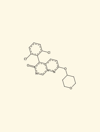 O=c1ncn2nc(OC3CCOCC3)ccc2c1-c1c(Cl)cccc1Cl